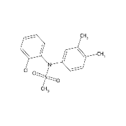 Cc1ccc(N(c2ccccc2Cl)S(C)(=O)=O)cc1C